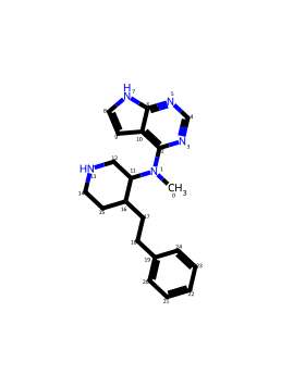 CN(c1ncnc2[nH]ccc12)C1CNCCC1CCc1ccccc1